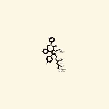 CC(C)n1c(CCC(O)CC(O)CC(=O)[O-])c(-c2ccc(F)cc2)c2c1C(=O)N(c1ccccc1)Cc1ccccc1-2.[Na+]